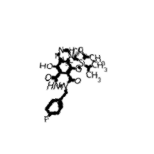 CC(C)[Si](Oc1c2ncnnc2c(O)c2c(=O)[nH]n(Cc3ccc(F)cc3)c(=O)c12)(C(C)C)C(C)C